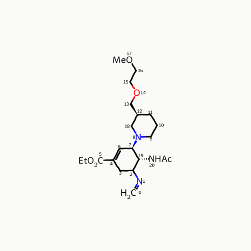 C=NC1CC(C(=O)OCC)=C[C@@H](N2CCC[C@H](COCCOC)C2)[C@@H]1NC(C)=O